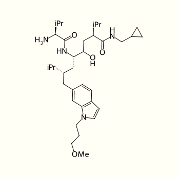 COCCCn1ccc2ccc(C[C@@H](C[C@H](NC(=O)[C@@H](N)C(C)C)C(O)CC(C(=O)NCC3CC3)C(C)C)C(C)C)cc21